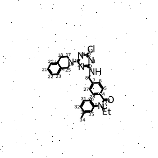 CCN(C(=O)c1ccc(CNc2nc(Cl)nc(N3CCc4ccccc4C3)n2)cc1)c1cccc(C)c1